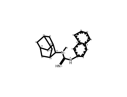 CN(C(=N)Nc1ccc2ccccc2c1)C1C2CC3CC(C2)CC1C3